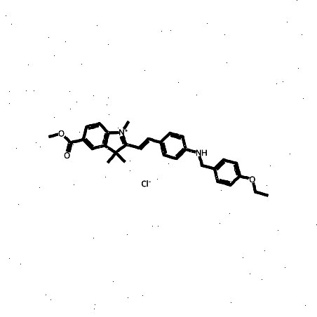 CCOc1ccc(CNc2ccc(C=CC3=[N+](C)c4ccc(C(=O)OC)cc4C3(C)C)cc2)cc1.[Cl-]